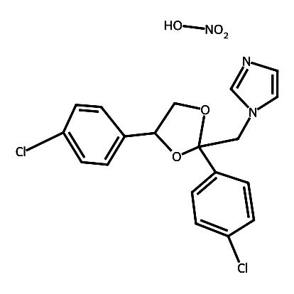 Clc1ccc(C2COC(Cn3ccnc3)(c3ccc(Cl)cc3)O2)cc1.O=[N+]([O-])O